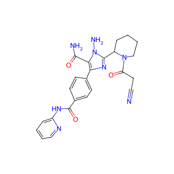 N#CCC(=O)N1CCCCC1c1nc(-c2ccc(C(=O)Nc3ccccn3)cc2)c(C(N)=O)n1N